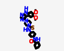 COc1cc2[nH]c3ncnc(N4CCN(C(=S)Nc5ccc(NC(=O)c6ccccc6)cc5)CC4)c3c2cc1OC